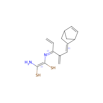 C=C/C(=N/C(S)=C(\N)S)C(=C)/C=C1\CC2C=CC1C2